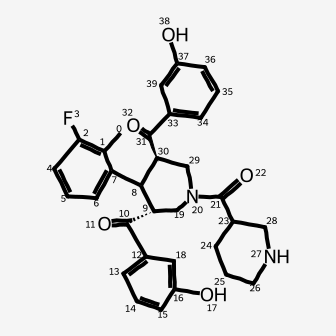 Cc1c(F)cccc1C1[C@@H](C(=O)c2cccc(O)c2)CN(C(=O)C2CCCNC2)C[C@@H]1C(=O)c1cccc(O)c1